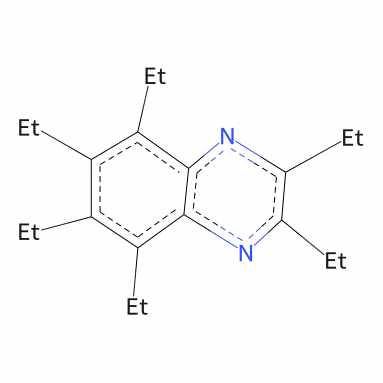 CCc1nc2c(CC)c(CC)c(CC)c(CC)c2nc1CC